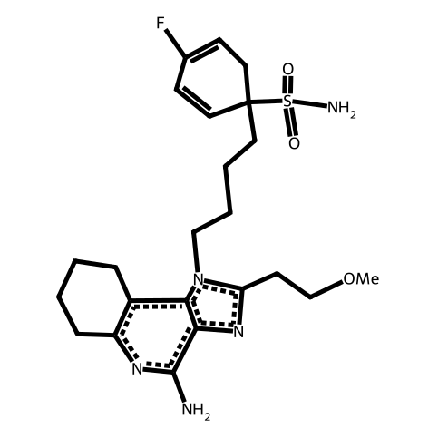 COCCc1nc2c(N)nc3c(c2n1CCCCC1(S(N)(=O)=O)C=CC(F)=CC1)CCCC3